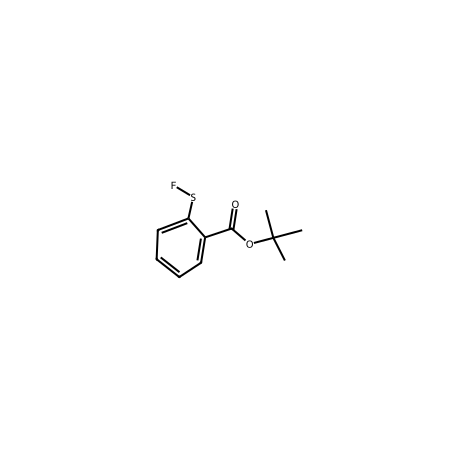 CC(C)(C)OC(=O)c1ccccc1SF